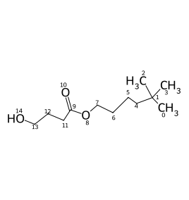 CC(C)(C)CCCCOC(=O)CCCO